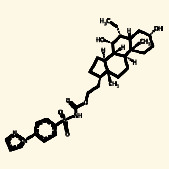 CC[C@H]1[C@@H](O)[C@@H]2[C@H](CC[C@]3(C)[C@@H](CCOC(=O)NS(=O)(=O)c4ccc(-n5cccn5)cc4)CC[C@@H]23)[C@@]2(C)CC[C@@H](O)C[C@@H]12